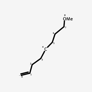 [CH]=CCCCCCCOC